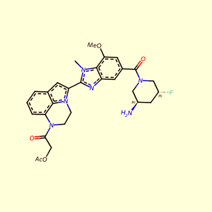 COc1cc(C(=O)N2C[C@H](N)C[C@@H](F)C2)cc2nc(-c3cc4cccc5c4n3CCN5C(=O)COC(C)=O)n(C)c12